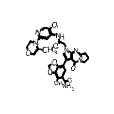 C[C@H]1COCCN1c1cc(NC(=O)Cn2cc(-c3cc(C(N)=O)c(O)c4c3OCO4)c3c(=O)n4c(nc32)CCC4)c(Cl)cn1